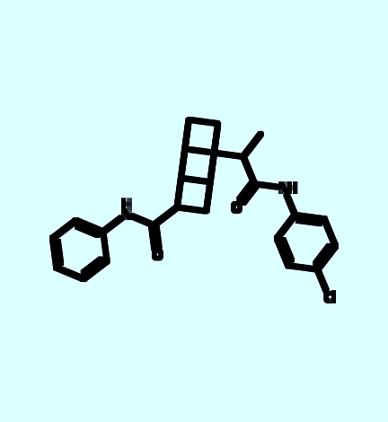 CC(C(=O)Nc1ccc(Cl)cc1)C12C3C4C1C1C2C3C41C(=O)Nc1ccccc1